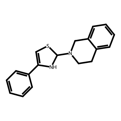 C1=C(c2ccccc2)NC(N2CCc3ccccc3C2)S1